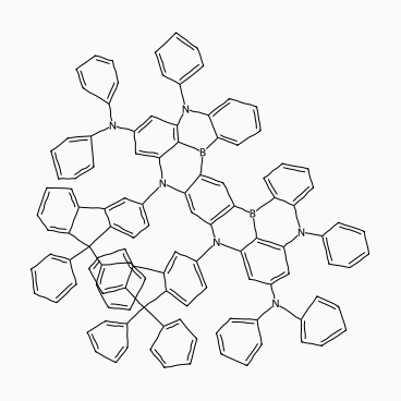 c1ccc(N(c2ccccc2)c2cc3c4c(c2)N(c2ccc5c(c2)-c2ccccc2C5(c2ccccc2)c2ccccc2)c2cc5c(cc2B4c2ccccc2N3c2ccccc2)B2c3ccccc3N(c3ccccc3)c3cc(N(c4ccccc4)c4ccccc4)cc(c32)N5c2ccc3c(c2)-c2ccccc2C3(c2ccccc2)c2ccccc2)cc1